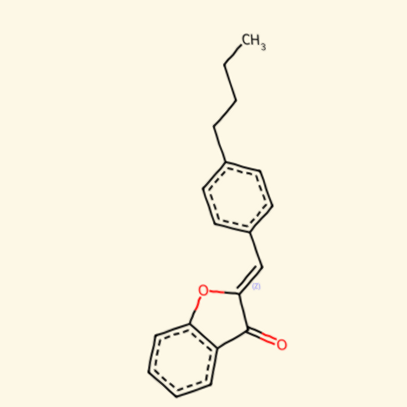 CCCCc1ccc(/C=C2\Oc3ccccc3C2=O)cc1